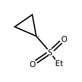 CCS(=O)(=O)[C]1CC1